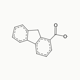 [O]C(=O)c1cccc2c1Cc1ccccc1-2